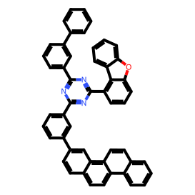 c1ccc(-c2cccc(-c3nc(-c4cccc(-c5ccc6ccc7c8ccccc8ccc7c6c5)c4)nc(-c4cccc5oc6ccccc6c45)n3)c2)cc1